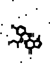 CC(CF)Oc1cc(F)ccc1NC1N=CNC2C=CN(C)C21